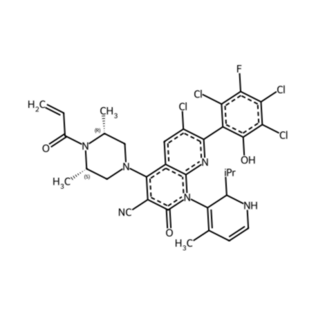 C=CC(=O)N1[C@H](C)CN(c2c(C#N)c(=O)n(C3=C(C)C=CNC3C(C)C)c3nc(-c4c(O)c(Cl)c(Cl)c(F)c4Cl)c(Cl)cc23)C[C@@H]1C